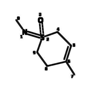 CN=S1(=O)CC=C(C)CC1